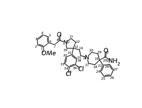 COc1ccccc1CC(=O)N1CCC(CCN2CCC(C(N)=O)(c3ccccc3)CC2)(c2ccc(Cl)c(Cl)c2)C1